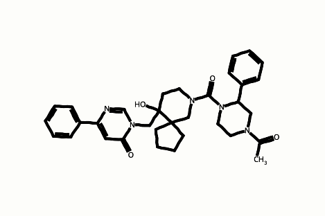 CC(=O)N1CCN(C(=O)N2CCC(O)(Cn3cnc(-c4ccccc4)cc3=O)C3(CCCC3)C2)C(c2ccccc2)C1